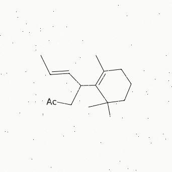 CC=CC(CC(C)=O)C1=C(C)CCCC1(C)C